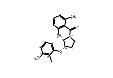 Cc1cccc(C)c1C(=O)N1CC[C@H](Oc2cccc(N)c2F)C1